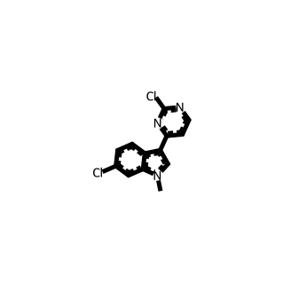 Cn1cc(-c2ccnc(Cl)n2)c2ccc(Cl)cc21